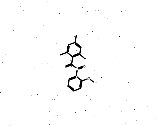 CCOc1ccccc1[P](=O)C(=O)c1c(C)cc(C)cc1C